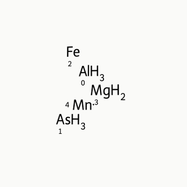 [AlH3].[AsH3].[Fe].[MgH2].[Mn]